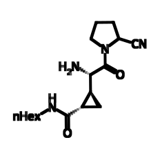 CCCCCCNC(=O)[C@H]1C[C@@H]1[C@H](N)C(=O)N1CCCC1C#N